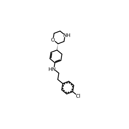 Clc1ccc(CCNC2=CCC([C@H]3CNCCO3)C=C2)cc1